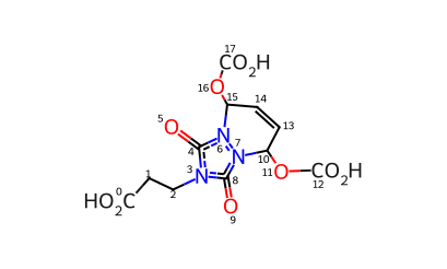 O=C(O)CCn1c(=O)n2n(c1=O)C(OC(=O)O)C=CC2OC(=O)O